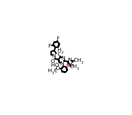 C=C1N=C(c2csc(C)n2)N(c2c(OC)cccc2OC)C(O)=C1C(=O)N1CCC(c2ccc(F)cc2F)C1